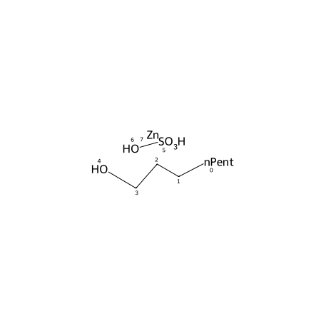 CCCCCCCCO.O=S(=O)(O)O.[Zn]